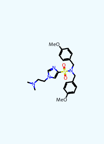 COc1ccc(CN(Cc2ccc(OC)cc2)S(=O)(=O)c2cn(CCN(C)C)cn2)cc1